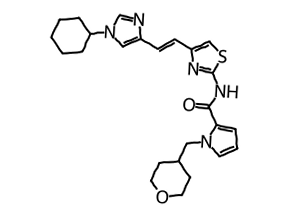 O=C(Nc1nc(/C=C/c2cn(C3CCCCC3)cn2)cs1)c1cccn1CC1CCOCC1